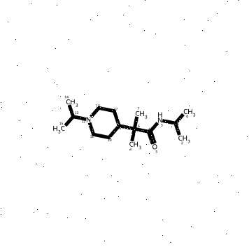 CC(C)NC(=O)C(C)(C)C1CCN(C(C)C)CC1